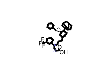 O=C(O)/C=C\C(=C\CCc1ccc(C23CC4CC(CC(C4)C2)C3)c(OCc2ccccc2)c1)c1cccc(C(F)(F)F)c1